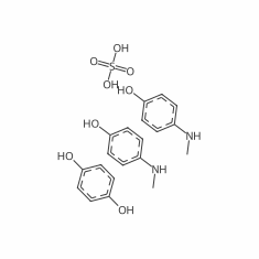 CNc1ccc(O)cc1.CNc1ccc(O)cc1.O=S(=O)(O)O.Oc1ccc(O)cc1